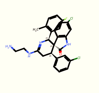 Cc1ccc(F)cc1[C@@H]1N=C(NCCN)C[C@H](c2cccc(Cl)c2)[C@@]12C(=O)Nc1cc(Cl)ccc12